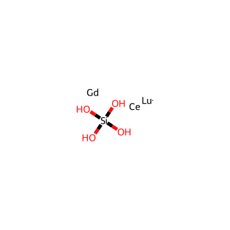 O[Si](O)(O)O.[Ce].[Gd].[Lu]